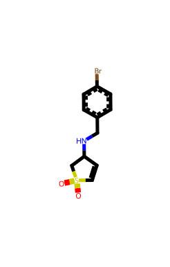 O=S1(=O)C=CC(NCc2ccc(Br)cc2)C1